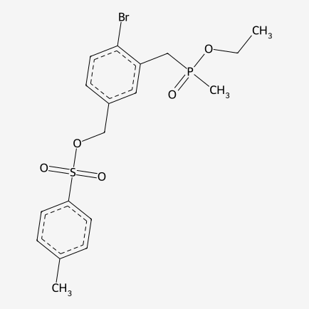 CCOP(C)(=O)Cc1cc(COS(=O)(=O)c2ccc(C)cc2)ccc1Br